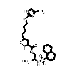 Cc1c[nH]c(NCCCCC2CC(C(=O)NCC(NS(=O)(=O)c3cccc4ccccc34)C(=O)O)NO2)n1